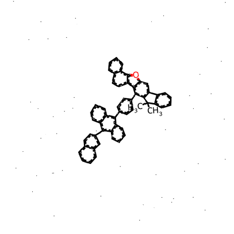 CC1(C)c2ccccc2-c2cc3oc4c5ccccc5ccc4c3c(-c3ccc(-c4c5ccccc5c(-c5ccc6ccccc6c5)c5ccccc45)cc3)c21